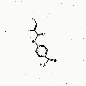 CC/C=C(\C)C(=O)Nc1ccc(C(=N)N)cc1